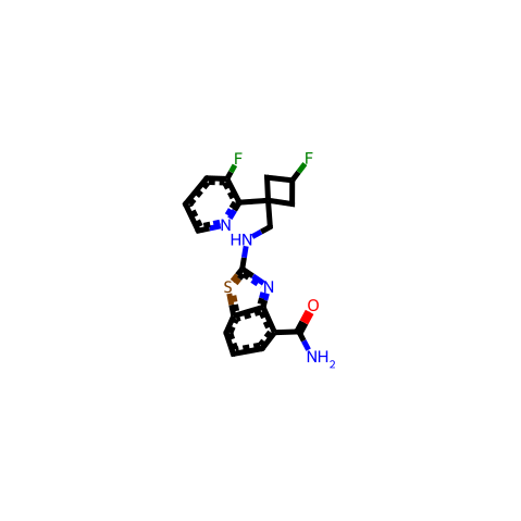 NC(=O)c1cccc2sc(NCC3(c4ncccc4F)CC(F)C3)nc12